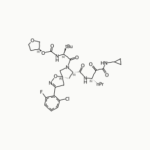 CCC[C@H](NC(=O)[C@@H]1C[C@@]2(CC(c3c(F)cccc3Cl)=NO2)CN1C(=O)[C@@H](NC(=O)O[C@H]1CCOC1)C(C)(C)C)C(=O)C(=O)NC1CC1